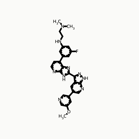 COc1cncc(-c2cnc3[nH]nc(-c4nc5c(-c6cc(F)cc(NCCN(C)C)c6)ccnc5[nH]4)c3c2)c1